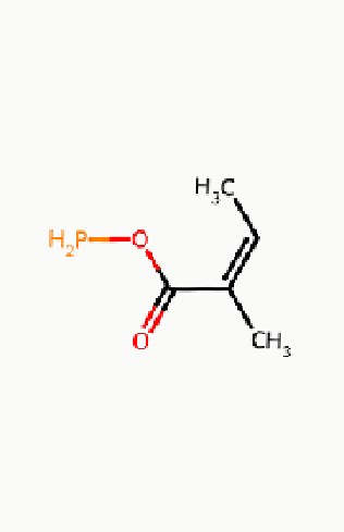 CC=C(C)C(=O)OP